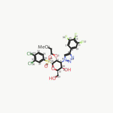 COCCO[C@@H]1[C@@H](n2cc(-c3cc(F)c(F)c(F)c3)nn2)[C@@H](O)[C@@H](CO)O[C@@H]1S(=O)(=O)c1ccc(Cl)c(Cl)c1